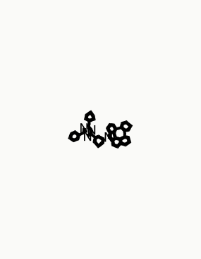 c1ccc(-c2nc(-c3ccccc3)nc(-c3cccc(-n4c5cccc6c5c5c7c(cccc7ccc54)-c4ccccc4-6)c3)n2)cc1